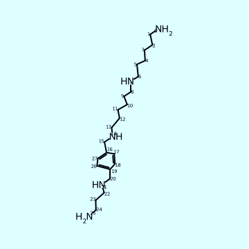 NCCCCCCNCCCCCCNCc1ccc(CNCCCN)cc1